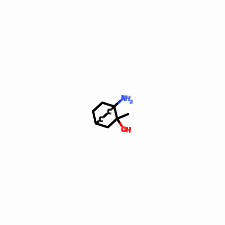 CC1(O)CC2CCC1(N)CC2